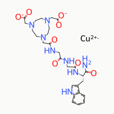 NC(=O)[C@H](Cc1c[nH]c2ccccc12)NC(=O)CNC(=O)CNC(=O)CN1CCN(CC(=O)[O-])CCN(CC(=O)[O-])CC1.[Cu+2]